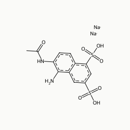 CC(=O)Nc1ccc2c(S(=O)(=O)O)cc(S(=O)(=O)O)cc2c1N.[Na].[Na]